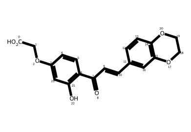 O=C(O)COc1ccc(C(=O)C=Cc2ccc3c(c2)OCCO3)c(O)c1